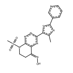 Cc1nc(-c2cccnc2)sc1-c1nnc2c(n1)/C(=N/O)CCN2S(C)(=O)=O